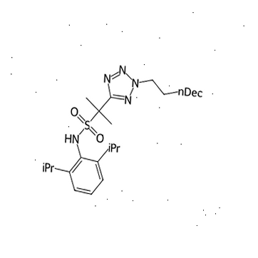 CCCCCCCCCCCCn1nnc(C(C)(C)S(=O)(=O)Nc2c(C(C)C)cccc2C(C)C)n1